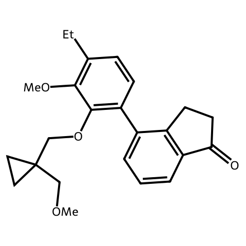 CCc1ccc(-c2cccc3c2CCC3=O)c(OCC2(COC)CC2)c1OC